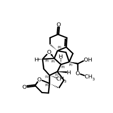 COC(O)[C@]12CC3=CC(=O)CC[C@]3(C1)[C@@]13O[C@@H]1C[C@@]1(C)[C@@H](CC[C@@]14CCC(=O)O4)[C@H]23